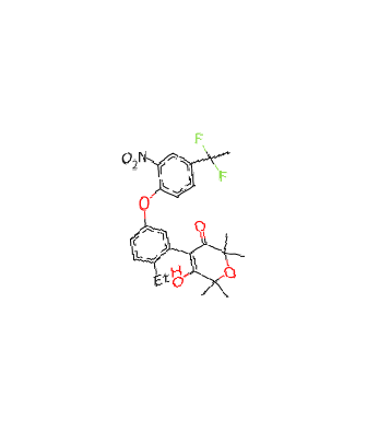 CCc1ccc(Oc2ccc(C(C)(F)F)cc2[N+](=O)[O-])cc1C1=C(O)C(C)(C)OC(C)(C)C1=O